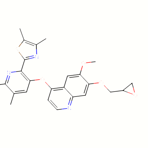 COc1cc2c(Oc3cc(C)c(C)nc3-c3nc(C)c(C)s3)ccnc2cc1OCC1CO1